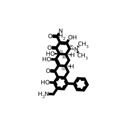 CN(C)[C@H]1C(O)=C(C(N)=O)C(=O)[C@@]2(O)C(O)=C3C(=O)c4c(O)c(CN)cc(-c5ccccc5)c4C[C@@H]3C[C@H]12